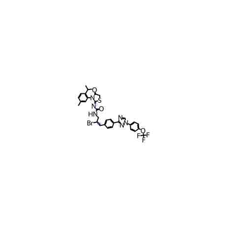 Cc1ccc(C(C)C)c(N2C(=O)CS/C2=N\C(=O)NC/C(Br)=C\c2ccc(-c3ncn(-c4ccc(OC(F)(F)F)cc4)n3)cc2)c1